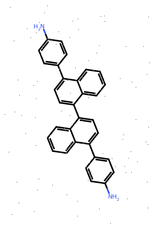 Nc1ccc(-c2ccc(-c3ccc(-c4ccc(N)cc4)c4ccccc34)c3ccccc23)cc1